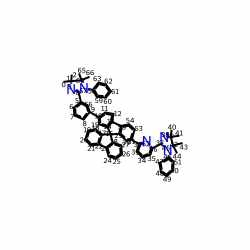 CC1(C)N=C(c2cccc(-c3ccc4c(c3)C3(c5ccccc5-c5ccccc53)c3cc(-c5cccc(C6=NC(C)(C)C(C)(C)N6c6ccccc6)n5)ccc3-4)c2)N(c2ccccc2)C1(C)C